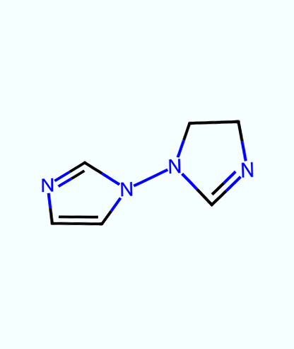 C1=NCCN1n1ccnc1